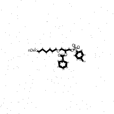 CCCCCCCCCCCCCCCCOCC(COS(=O)(=O)c1ccc(C)cc1)OC(=O)c1ccccc1